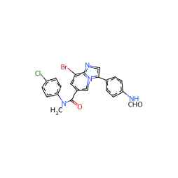 CN(C(=O)c1cc(Br)c2ncc(-c3ccc(NC=O)cc3)n2c1)c1ccc(Cl)cc1